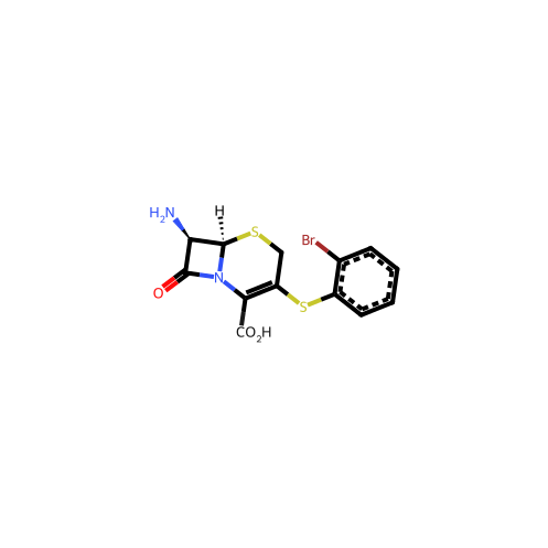 N[C@@H]1C(=O)N2C(C(=O)O)=C(Sc3ccccc3Br)CS[C@H]12